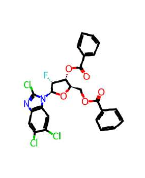 O=C(OC[C@H]1O[C@@H](n2c(Cl)nc3cc(Cl)c(Cl)cc32)[C@H](F)[C@@H]1OC(=O)c1ccccc1)c1ccccc1